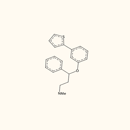 CNCCC(Oc1cccc(-c2cccs2)c1)c1ccccc1